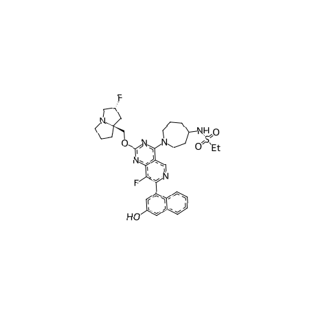 CCS(=O)(=O)NC1CCCN(c2nc(OC[C@@]34CCCN3C[C@H](F)C4)nc3c(F)c(-c4cc(O)cc5ccccc45)ncc23)CC1